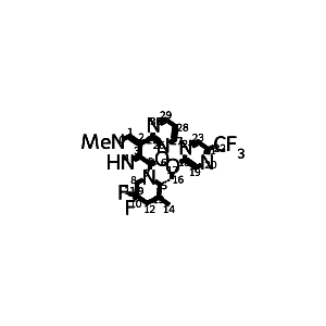 CN/C=C(\C(=N)C(=O)N1CC(F)(F)CC(C)[C@H]1COc1cnc(C(F)(F)F)cn1)c1ncccn1